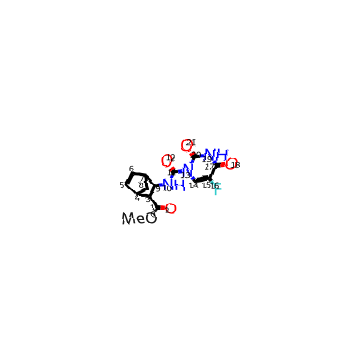 COC(=O)C1C2C=CC(C2)C1NC(=O)n1cc(F)c(=O)[nH]c1=O